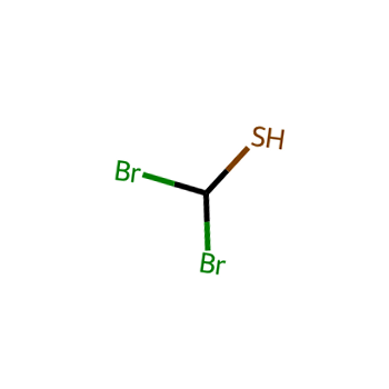 SC(Br)Br